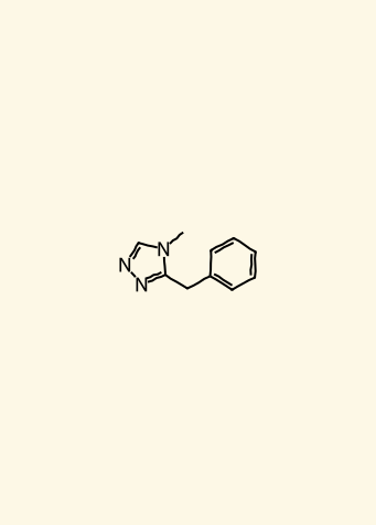 Cn1cnnc1Cc1ccccc1